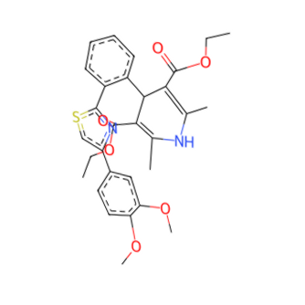 CCOC(=O)C1=C(C)NC(C)=C(C(=O)OCC)C1c1ccccc1-c1nc(-c2ccc(OC)c(OC)c2)cs1